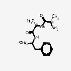 C[C@H](N)C(=O)N[C@@H](C)C(=O)N[C@H]([C]=O)Cc1ccccc1